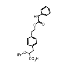 CC(C)OC(Cc1ccc(CCOC(=O)Nc2ccccc2)cc1)C(=O)O